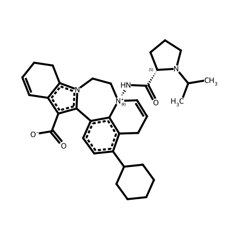 CC(C)N1CCC[C@H]1C(=O)N[N@+]12C=CCc3c(C4CCCCC4)ccc(c31)-c1c(C(=O)[O-])c3c(n1CC2)CCC=C3